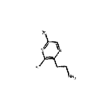 CCc1nc(Br)cnc1CCN